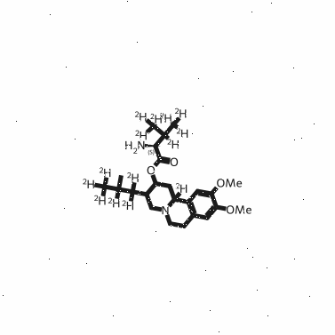 [2H]C12CC(OC(=O)[C@@H](N)C([2H])(C([2H])([2H])[2H])C([2H])([2H])[2H])C(C([2H])([2H])C([2H])(C)C([2H])([2H])[2H])CN1CCc1cc(OC)c(OC)cc12